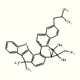 COC1(O)C2(C)c3ccc4c(c3-c3ccc5cc(CC(C)C)ccc5[n+]3C12C)-c1sc2ccccc2c1C4(C)C